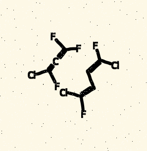 FC(Cl)=CC=C(F)Cl.FC(F)=C=C(F)Cl